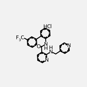 Cl.O=C(Nc1ccccc1-c1cccc(C(F)(F)F)c1)c1cccnc1NCc1ccncc1